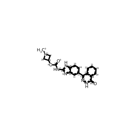 CN1CC(OC(=O)Nc2nc3cc(-c4n[nH]c(=O)c5ccccc45)ccc3[nH]2)C1